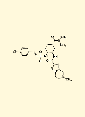 CN1CCc2nc(C(=O)N[C@@H]3C[C@@H](C(=O)N(C)C)CC[C@@H]3NS(=O)(=O)C=Cc3ccc(Cl)cc3)sc2C1